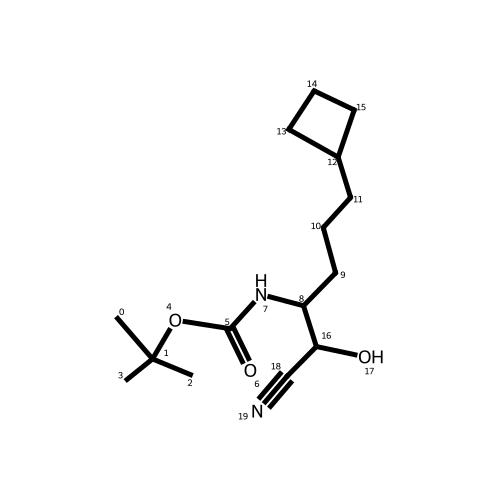 CC(C)(C)OC(=O)NC(CCCC1CCC1)C(O)C#N